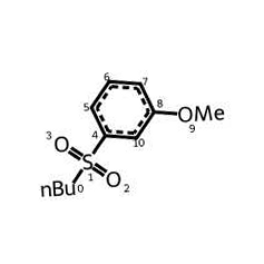 CCCCS(=O)(=O)c1cccc(OC)c1